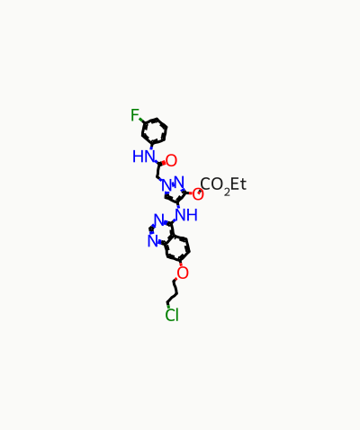 CCOC(=O)Oc1nn(CC(=O)Nc2cccc(F)c2)cc1Nc1ncnc2cc(OCCCCl)ccc12